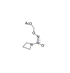 CC(=O)OCO/N=[N+](/[O-])N1CCC1